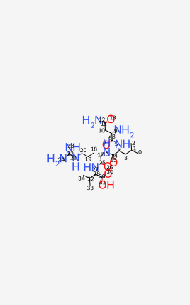 CC(C)C[C@H](NC(=O)[C@@H](N)CC(N)=O)C(=O)N[C@@H](CCCNC(=N)N)C(=O)N[C@H](C(=O)O)C(C)C